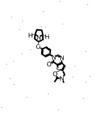 CC(=O)N(C)Cc1cc2ncn(-c3ccc(O[C@@H]4C[C@H]5CC[C@@H](C4)N5C)cc3)c(=O)c2s1